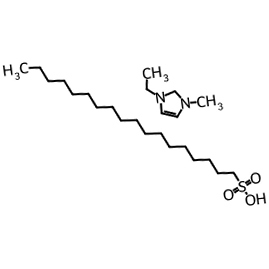 CCCCCCCCCCCCCCCCCCS(=O)(=O)O.CCN1C=CN(C)C1